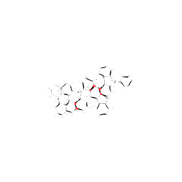 c1ccc(-n2c3ccccc3c3c(-c4cccc(N(c5ccccc5-c5cccc6cccc(C7CCCCC7)c56)c5ccccc5-c5cccc6sc7ccccc7c56)c4)cccc32)cc1